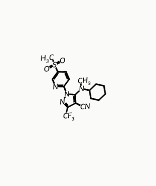 CN(c1c(C#N)c(C(F)(F)F)nn1-c1ccc(S(C)(=O)=O)cn1)C1CCCCC1